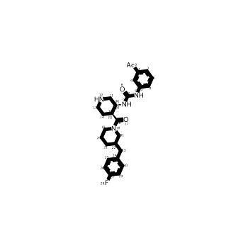 CC(=O)c1cccc(NC(=O)N[C@H]2CNCC[C@@H]2C(=O)N2CCCC(Cc3ccc(F)cc3)C2)c1